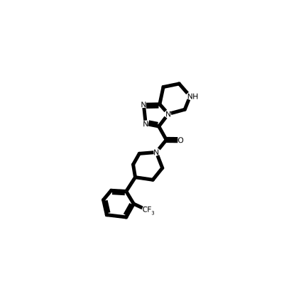 O=C(c1nnc2n1CNCC2)N1CCC(c2ccccc2C(F)(F)F)CC1